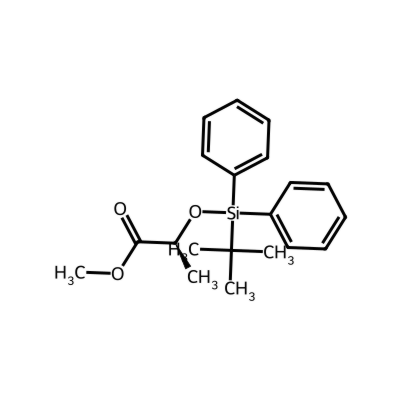 COC(=O)[C@H](C)O[Si](c1ccccc1)(c1ccccc1)C(C)(C)C